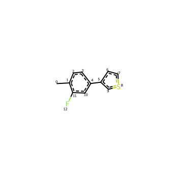 Cc1ccc(-c2c[c]sc2)cc1F